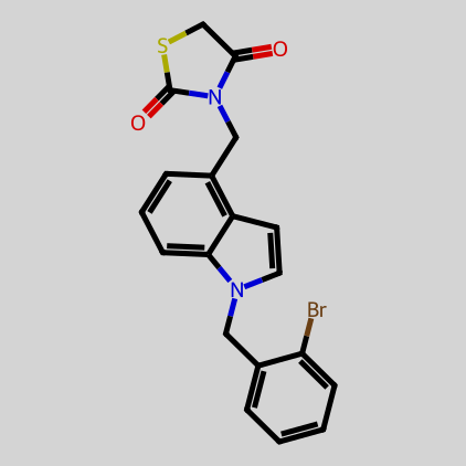 O=C1CSC(=O)N1Cc1cccc2c1ccn2Cc1ccccc1Br